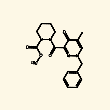 Cc1cn(Cc2ccccc2)nc(C(=O)N2CCCCN2C(=O)OC(C)(C)C)c1=O